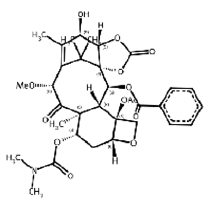 CO[C@H]1C(=O)[C@]2(C)[C@@H](OC(=O)N(C)C)C[C@H]3OC[C@@]3(OC(C)=O)[C@H]2[C@H](OC(=O)c2ccccc2)[C@]23OC(=O)O[C@H]2[C@H](O)C(C)=C1C3(C)C